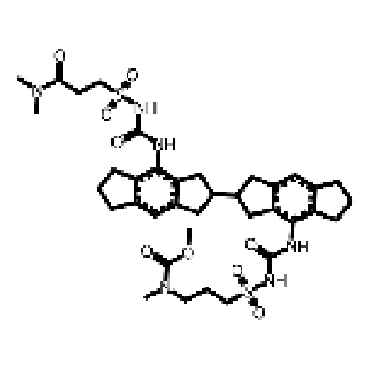 COC(=O)N(C)CCCS(=O)(=O)NC(=O)Nc1c2c(cc3c1CC(C1Cc4cc5c(c(NC(=O)NS(=O)(=O)CCC(=O)N(C)C)c4C1)CCC5)C3)CCC2